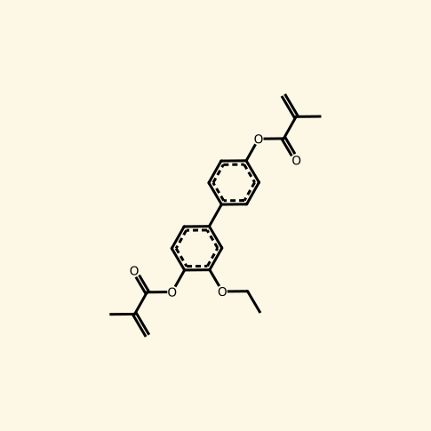 C=C(C)C(=O)Oc1ccc(-c2ccc(OC(=O)C(=C)C)c(OCC)c2)cc1